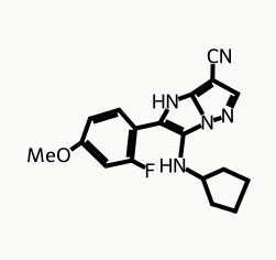 COc1ccc(-c2[nH]c3c(C#N)cnn3c2NC2CCCC2)c(F)c1